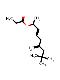 C=C(C/C=C/C(C)OC(=O)CC)CC(C)(C)C